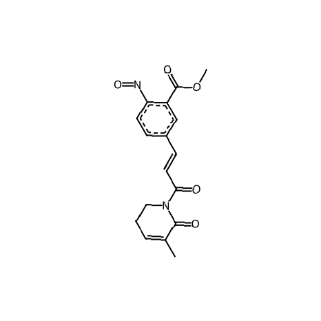 COC(=O)c1cc(/C=C/C(=O)N2CCC=C(C)C2=O)ccc1N=O